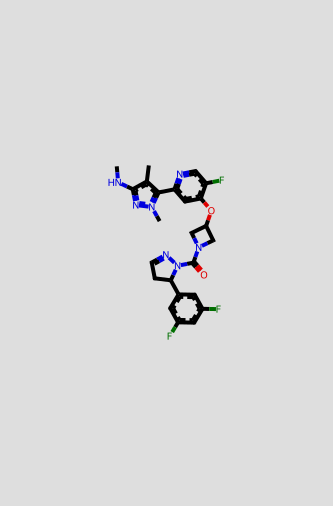 CNc1nn(C)c(-c2cc(OC3CN(C(=O)N4N=CCC4c4cc(F)cc(F)c4)C3)c(F)cn2)c1C